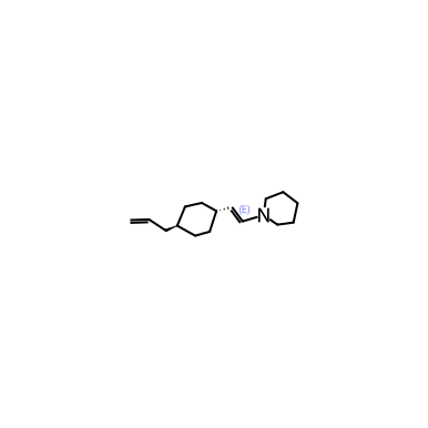 C=CC[C@H]1CC[C@H](/C=C/N2CCCCC2)CC1